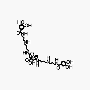 O=C(CC(O)(CC(=O)NCCCCNCCCNC(=O)c1ccc(O)c(O)c1)C(=O)O)NCCCCNCCCNC(=O)c1ccc(O)c(O)c1